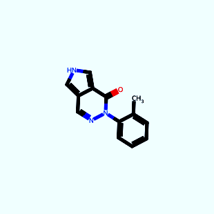 Cc1ccccc1-n1ncc2c[nH]cc2c1=O